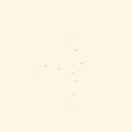 CCCCCCCCCCCC(=O)OC(=O)CC(O)(CC(=O)OC(=O)CCCCCCCCCCC)C(=O)OC(=O)CCCCCCCCCCC